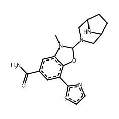 CN1c2cc(C(N)=O)cc(-c3nccs3)c2OC1N1CC2CCC(C1)N2